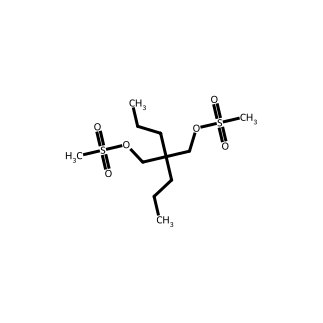 CCCC(CCC)(COS(C)(=O)=O)COS(C)(=O)=O